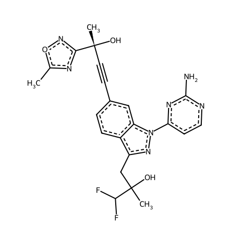 Cc1nc([C@](C)(O)C#Cc2ccc3c(CC(C)(O)C(F)F)nn(-c4ccnc(N)n4)c3c2)no1